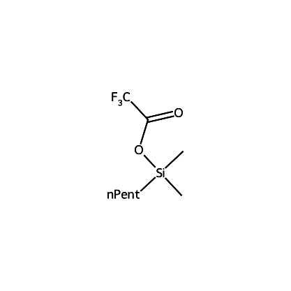 CCCCC[Si](C)(C)OC(=O)C(F)(F)F